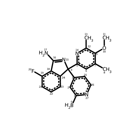 Bc1cc(C2(c3cc(C)c(OC)c(C)n3)N=C(N)c3c(F)cccc32)ccn1